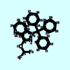 FC(F)Oc1nn(C(c2ccccc2)(c2ccccc2)c2ccccc2)c2cccnc12